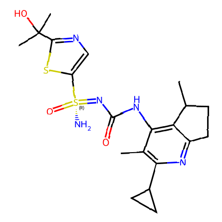 Cc1c(C2CC2)nc2c(c1NC(=O)N=[S@@](N)(=O)c1cnc(C(C)(C)O)s1)C(C)CC2